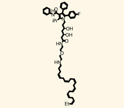 CC/C=C\C/C=C\C/C=C\C/C=C\C/C=C\C/C=C\CCCNCCOCCNC(=O)C[C@H](O)C[C@H](O)CCn1c(-c2ccc(F)cc2)c(-c2ccccc2)c(C(=O)Nc2ccccc2)c1C(C)C